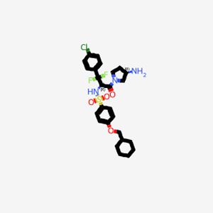 N[C@@H]1CCN(C(=O)[C@@H](NS(=O)(=O)c2ccc(OCC3CCCCC3)cc2)C(F)(F)c2ccc(Cl)cc2)C1